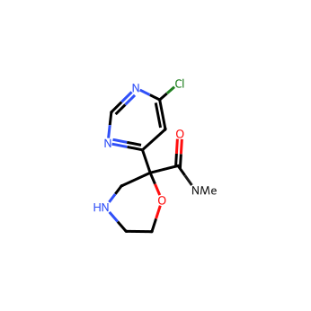 CNC(=O)C1(c2cc(Cl)ncn2)CNCCO1